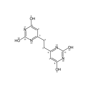 Oc1cc(CCc2cc(O)nc(O)n2)nc(O)n1